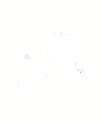 CC(C)(C)OC(=O)N[C@H](CC(=O)[O-])C(=O)C=[N+]=N